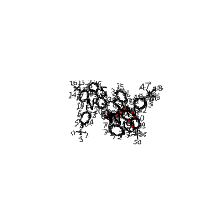 CC(C)(C)c1ccc(N(c2ccc(C(C)(C)C)cc2)c2cc3c(c4sc5ccccc5c24)-c2c4ccccc4c(N(c4ccc(C(C)(C)C)cc4)c4ccc(C(C)(C)C)cc4)c4c5cccc(c5-3)n3c5ccccc5oc5cccc(c5-3)c24)cc1